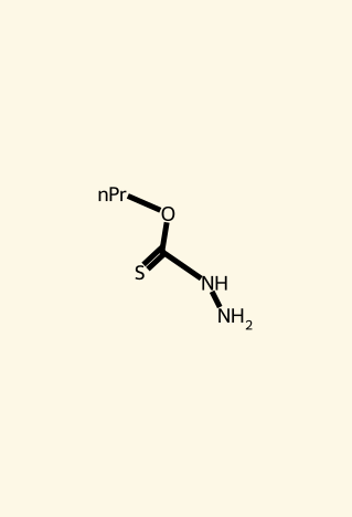 CCCOC(=S)NN